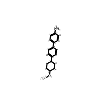 CCCCOC1CCC(c2ccc(-c3ccc(N)cc3)cc2)CC1